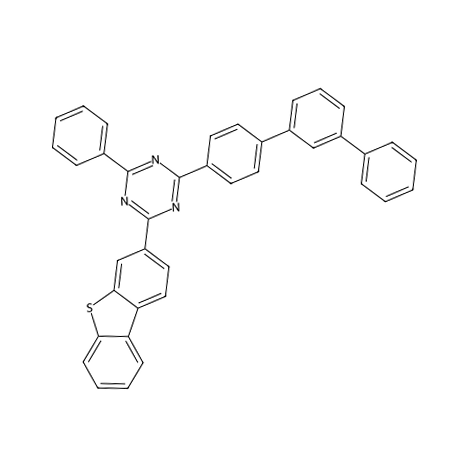 c1ccc(-c2cccc(-c3ccc(-c4nc(-c5ccccc5)nc(-c5ccc6c(c5)sc5ccccc56)n4)cc3)c2)cc1